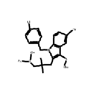 CC(=O)N(O)CC(C)(C)Cc1c(SC(C)(C)C)c2cc(C(C)C)ccc2n1Cc1ccc(Cl)cc1